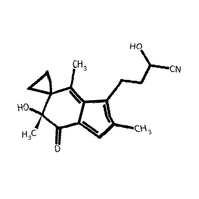 CC1=C(CCC(O)C#N)C2=C(C)C3(CC3)[C@@](C)(O)C(=O)C2=C1